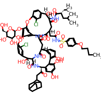 CCCCOc1ccc(S(=O)(=O)NC(=O)C[C@@H]2CC(=O)[C@H](NC(=O)[C@H](CC)CC(C)C)[C@H](O)c3ccc(c(Cl)c3)Oc3cc4cc(c3O[C@@H]3O[C@H](CO)[C@@H](O)[C@H](O)[C@H]3O)Oc3ccc(cc3Cl)[C@@H](O)[C@@H]3NC(=O)[C@H](CC(=O)[C@@H]4NC2=O)c2ccc(O)c(c2)-c2c(O)cc(O)cc2[C@@H](C(=O)CC2C4CC5CC(C4)CC2C5)NC3=O)cc1